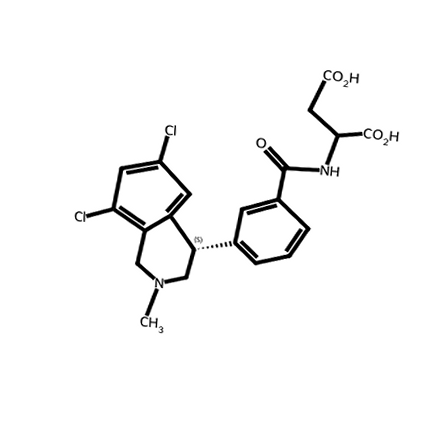 CN1Cc2c(Cl)cc(Cl)cc2[C@H](c2cccc(C(=O)NC(CC(=O)O)C(=O)O)c2)C1